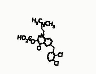 CN(C)CCn1cc(OC(=O)O)c(=O)c2cc(Cc3cccc(Cl)c3Cl)ccc21